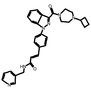 O=C(C=Cc1ccc(-n2nc(C(=O)N3CCN(C4CCC4)CC3)c3ccccc32)cc1)NCc1cccnc1